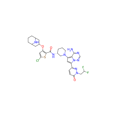 Nc1ncnn2c(-c3ccc(=O)n(CC(F)F)n3)cc(N3CCC[C@@H](NC(=O)c4sc(Cl)cc4OC4CC5CCCC(C4)N5)C3)c12